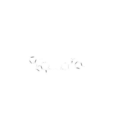 O=C1c2ccn(-c3ccccc3)c2C(O)CCN1CCCN1CCC(c2noc3cc(F)ccc23)CC1